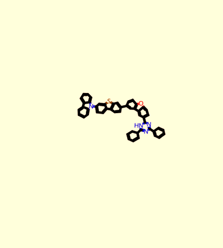 C1=CCC(C2=NC(c3ccccc3)=NC(c3ccc4oc5ccc(-c6ccc7c(c6)sc6cc(-n8c9ccccc9c9ccccc98)ccc67)cc5c4c3)N2)C=C1